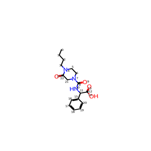 CCCCN1CCN(C(=O)NC(C(=O)O)c2ccccc2)CC1=O